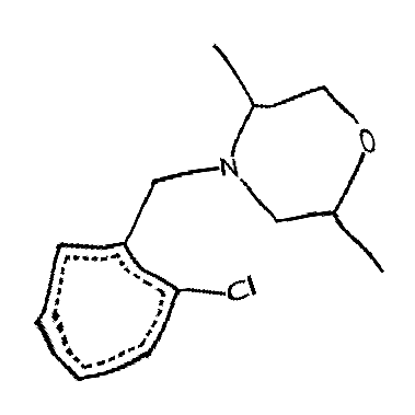 CC1CN(Cc2ccccc2Cl)C(C)CO1